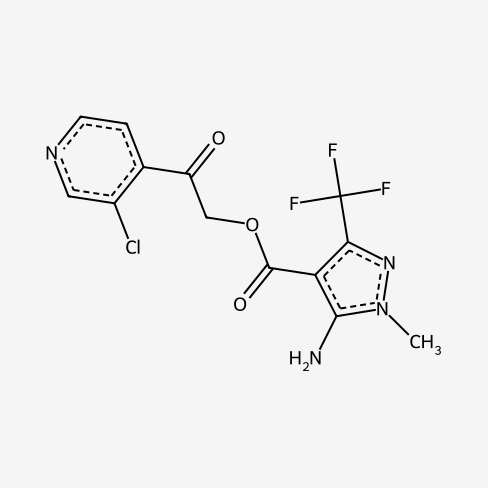 Cn1nc(C(F)(F)F)c(C(=O)OCC(=O)c2ccncc2Cl)c1N